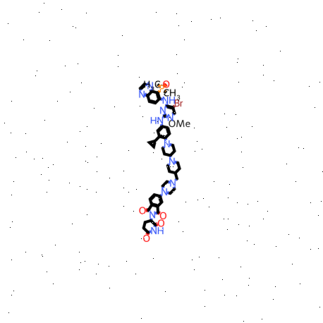 COc1cc(N2CCC(N3CCC(CN4CCN(c5ccc6c(c5)C(=O)N(C5CCC(=O)NC5=O)C6=O)CC4)CC3)CC2)c(C2CC2)cc1Nc1ncc(Br)c(Nc2ccc3nccnc3c2P(C)(C)=O)n1